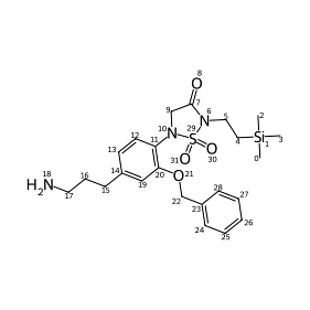 C[Si](C)(C)CCN1C(=O)CN(c2ccc(CCCN)cc2OCc2ccccc2)S1(=O)=O